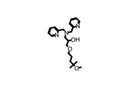 COC(C)(C)CCCOCC(O)CN(Cc1ccccn1)Cc1ccccn1